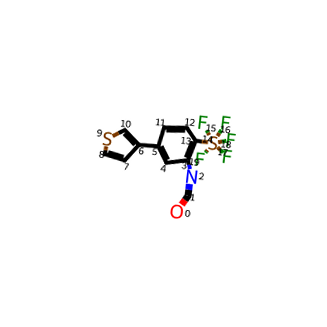 O=C=Nc1cc(-c2ccsc2)ccc1S(F)(F)(F)(F)F